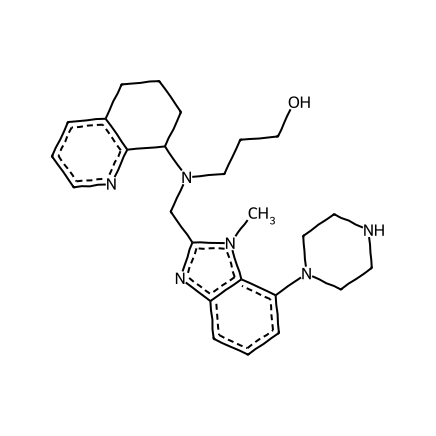 Cn1c(CN(CCCO)C2CCCc3cccnc32)nc2cccc(N3CCNCC3)c21